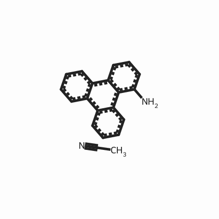 CC#N.Nc1cccc2c3ccccc3c3ccccc3c12